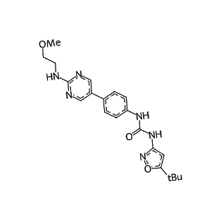 COCCNc1ncc(-c2ccc(NC(=O)Nc3cc(C(C)(C)C)on3)cc2)cn1